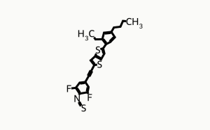 CCCCc1ccc(-c2cc3sc(C#Cc4cc(F)c(N=C=S)c(F)c4)cc3s2)c(CC)c1